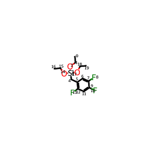 CCO[Si](Cc1cc(F)c(F)cc1F)(OCC)OCC